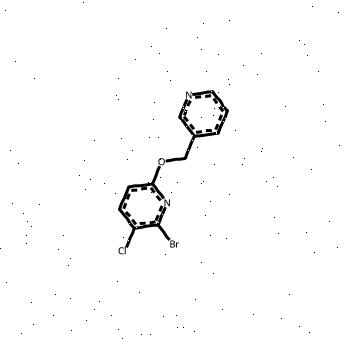 Clc1ccc(OCc2cccnc2)nc1Br